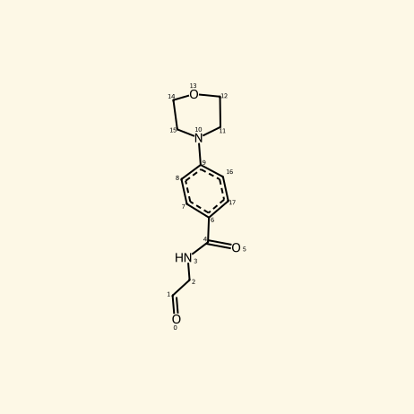 O=CCNC(=O)c1ccc(N2CCOCC2)cc1